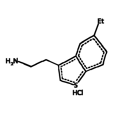 CCc1ccc2scc(CCN)c2c1.Cl